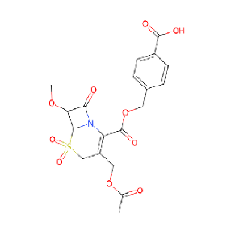 COC1C(=O)N2C(C(=O)OCc3ccc(C(=O)O)cc3)=C(COC(C)=O)CS(=O)(=O)C12